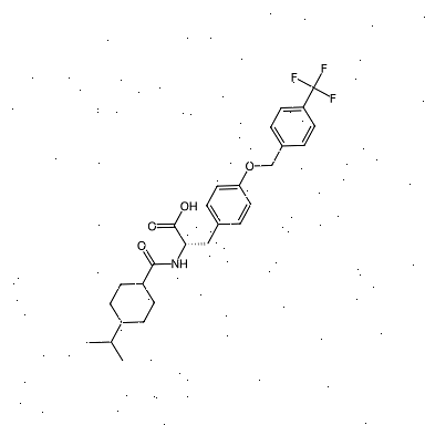 CC(C)C1CCC(C(=O)N[C@@H](Cc2ccc(OCc3ccc(C(F)(F)F)cc3)cc2)C(=O)O)CC1